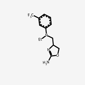 CCN(CC1COC(N)=N1)c1cccc(C(F)(F)F)c1